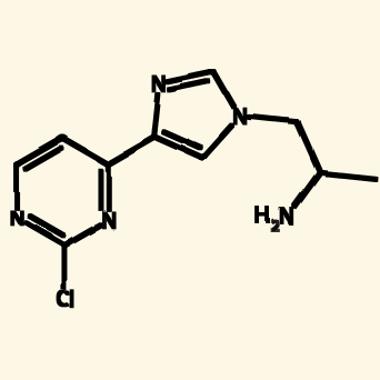 CC(N)Cn1cnc(-c2ccnc(Cl)n2)c1